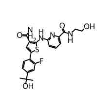 CC(C)(O)c1ccc(-c2cc(C(N)=O)c(Nc3cccc(C(=O)NCCO)n3)s2)c(F)c1